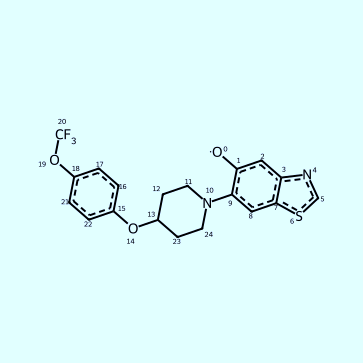 [O]c1cc2ncsc2cc1N1CCC(Oc2ccc(OC(F)(F)F)cc2)CC1